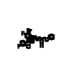 O=C(NOCC(O)COc1ccccc1)c1cc(Br)c(F)cc1Nc1ccc(I)cc1Cl